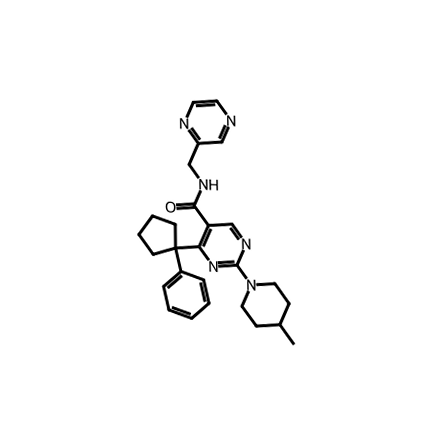 CC1CCN(c2ncc(C(=O)NCc3cnccn3)c(C3(c4ccccc4)CCCC3)n2)CC1